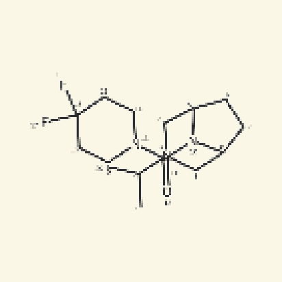 CC(C)N1CC2CCC(C1)N2C(=O)N1CCC(F)(F)CC1